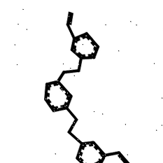 C=Cc1cccc(CCc2cccc(CCc3cccc(C=C)c3)c2)c1